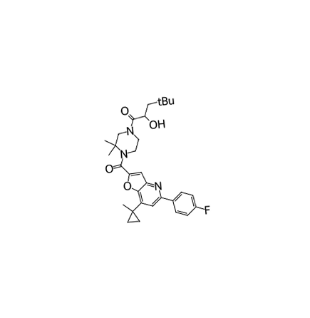 CC(C)(C)CC(O)C(=O)N1CCN(C(=O)c2cc3nc(-c4ccc(F)cc4)cc(C4(C)CC4)c3o2)C(C)(C)C1